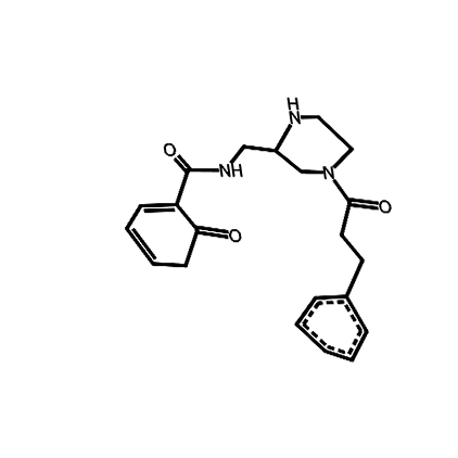 O=C1CC=CC=C1C(=O)NCC1CN(C(=O)CCc2ccccc2)CCN1